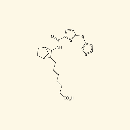 O=C(O)CCCC=CCC1C2CCC(C2)C1NC(=O)c1ccc(Sc2ccsc2)s1